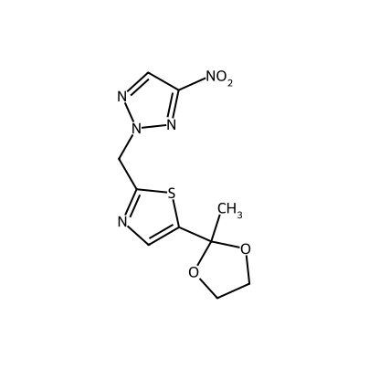 CC1(c2cnc(Cn3ncc([N+](=O)[O-])n3)s2)OCCO1